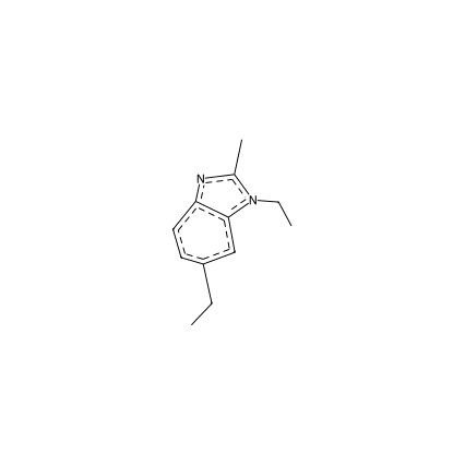 CCc1ccc2nc(C)n(CC)c2c1